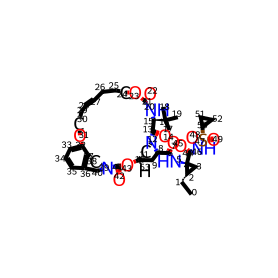 CC[C@H]1C[C@@]1(NC(=O)C1C[C@@H]2CN1C(=O)[C@H](C(C)(C)C)NC(=O)OCCC/C=C/CCOc1cccc3c1CN(C3)C(=O)O2)C(=O)NS(=O)(=O)C1CC1